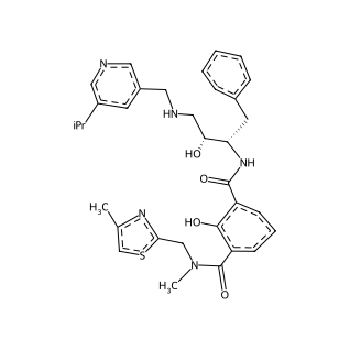 Cc1csc(CN(C)C(=O)c2cccc(C(=O)N[C@@H](Cc3ccccc3)[C@H](O)CNCc3cncc(C(C)C)c3)c2O)n1